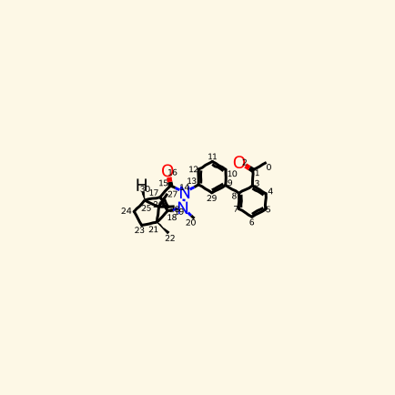 CC(=O)c1ccccc1-c1cccc(-n2c(=O)c3c(n2C)[C@]2(C)CC[C@H]3C2(C)C)c1